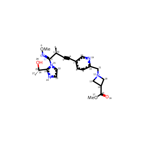 CO/N=C(\[C@@H](C)C#Cc1ccc(CN2CC(C(=O)OC)C2)nc1)n1ccnc1[C@H](C)O